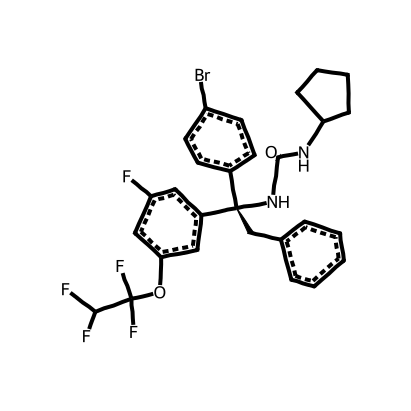 O=C(NC1CCCC1)N[C@@](Cc1ccccc1)(c1ccc(Br)cc1)c1cc(F)cc(OC(F)(F)C(F)F)c1